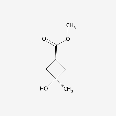 COC(=O)[C@H]1C[C@@](C)(O)C1